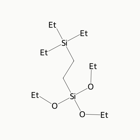 CCO[Si](CC[Si](CC)(CC)CC)(OCC)OCC